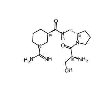 N=C(N)N1CCC[C@@H](C(=O)NC[C@@H]2CCCN2C(=O)[C@@H](N)CO)C1